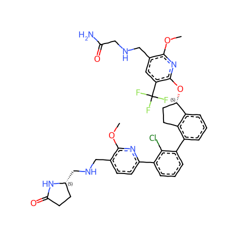 COc1nc(-c2cccc(-c3cccc4c3CC[C@@H]4Oc3nc(OC)c(CNCC(N)=O)cc3C(F)(F)F)c2Cl)ccc1CNC[C@@H]1CCC(=O)N1